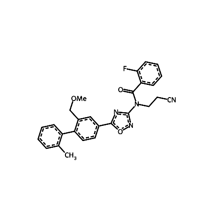 COCc1cc(-c2nc(N(CCC#N)C(=O)c3ccccc3F)no2)ccc1-c1ccccc1C